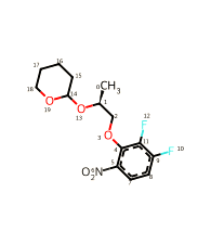 C[C@@H](COc1c([N+](=O)[O-])ccc(F)c1F)OC1CCCCO1